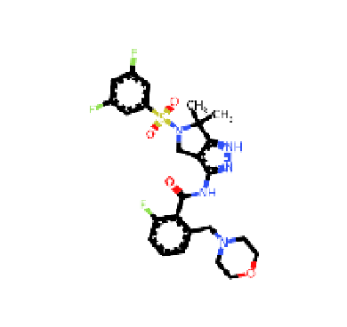 CC1(C)c2[nH]nc(NC(=O)c3c(F)cccc3CN3CCOCC3)c2CN1S(=O)(=O)c1cc(F)cc(F)c1